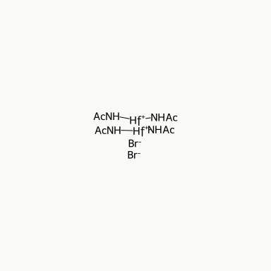 CC(=O)[NH][Hf+][NH]C(C)=O.CC(=O)[NH][Hf+][NH]C(C)=O.[Br-].[Br-]